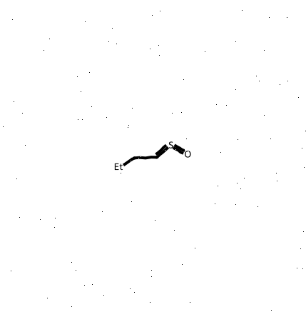 CC[CH]C=S=O